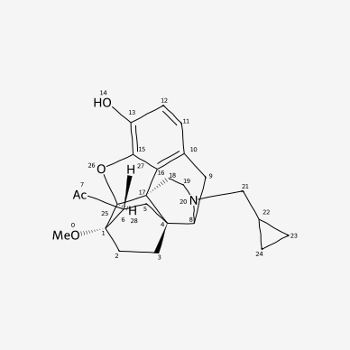 CO[C@@]12CC[C@]3(C[C@H]1C(C)=O)C1Cc4ccc(O)c5c4[C@]3(CCN1CC1CC1)[C@@H]2O5